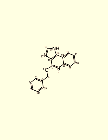 c1ccc(COc2nc3ccccc3c3[nH]cnc23)cc1